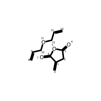 C=C1CC(=O)OC1=O.C=CCOCC=C